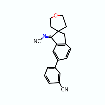 N#C/N=C1\c2cc(-c3cccc(C#N)c3)ccc2CC12CCOCC2